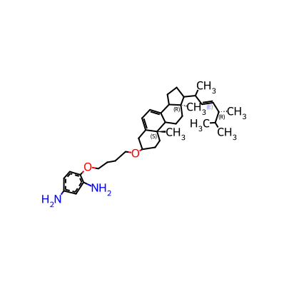 CC(/C=C/[C@H](C)C(C)C)C1CCC2C3=CC=C4CC(OCCCCOc5ccc(N)cc5N)CC[C@@]4(C)C3CC[C@@]21C